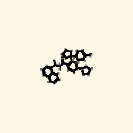 CC(NC(=O)c1cnc(N2CCCC2)nc1C1(c2ccc(Cl)cc2)CCCC1)c1cccc2ccccc12